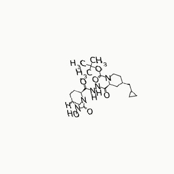 CC(C)(C)OC(=O)N1CC[C@@H](CC2CC2)C[C@H]1C(=O)NNC(=O)[C@@H]1CC[C@@H]2CN1C(=O)N2O